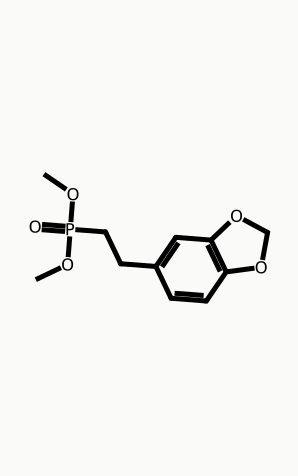 COP(=O)(CCc1ccc2c(c1)OCO2)OC